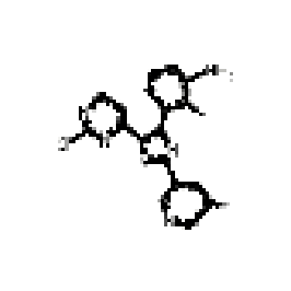 Nc1cccc(-c2nc(-c3cncc(F)c3)sc2-c2ccnc(Cl)n2)c1F